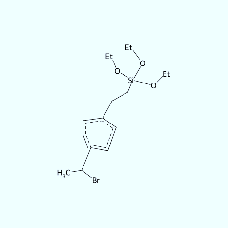 CCO[Si](CCc1ccc(C(C)Br)cc1)(OCC)OCC